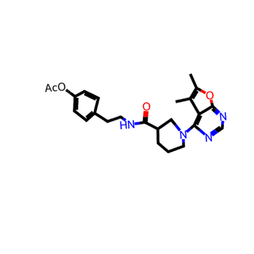 CC(=O)Oc1ccc(CCNC(=O)C2CCCN(c3ncnc4oc(C)c(C)c34)C2)cc1